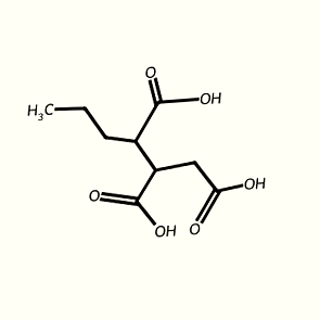 CCCC(C(=O)O)C(CC(=O)O)C(=O)O